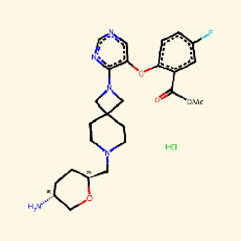 COC(=O)c1cc(F)ccc1Oc1cncnc1N1CC2(CCN(C[C@@H]3CC[C@@H](N)CO3)CC2)C1.Cl